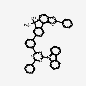 CC1(C)c2cc(-c3cccc(-c4nc(-c5ccccc5)nc(-n5c6ccccc6c6ccccc65)n4)c3)ccc2-c2c1ccc1nc(-c3ccccc3)oc21